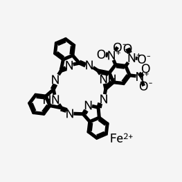 O=[N+]([O-])c1cc2c3nc4nc(nc5[nH]c(nc6nc(nc([nH]3)c2c([N+](=O)[O-])c1[N+](=O)[O-])-c1ccccc1-6)c1ccccc51)-c1ccccc1-4.[Fe+2]